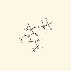 CC(C)C[C@H](NC(=O)[C@H](C)N)C(=O)[C@@]1(CO[Si](C)(C)C(C)(C)C)CO1